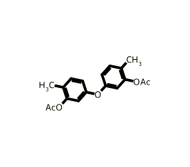 CC(=O)Oc1cc(Oc2ccc(C)c(OC(C)=O)c2)ccc1C